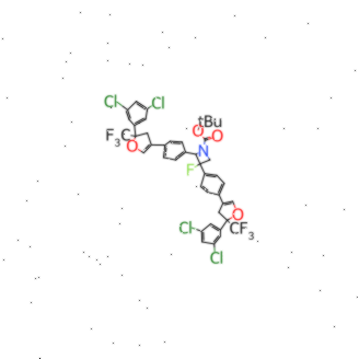 CC(C)(C)OC(=O)N1CC(F)(c2ccc(C3=COC(c4cc(Cl)cc(Cl)c4)(C(F)(F)F)C3)cc2)C1c1ccc(C2=COC(c3cc(Cl)cc(Cl)c3)(C(F)(F)F)C2)cc1